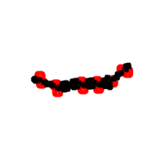 C=CC(=O)OCCCCOC(=O)c1ccc(-c2ccc(OC(=O)c3ccc(OC(=O)c4cc(C)c(OCCCCOC(=O)C=C)c(C)c4)cc3)cc2)cc1